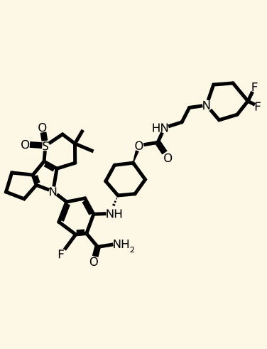 CC1(C)Cc2c(c3c(n2-c2cc(F)c(C(N)=O)c(N[C@H]4CC[C@H](OC(=O)NCCN5CCC(F)(F)CC5)CC4)c2)CCC3)S(=O)(=O)C1